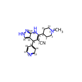 CN1CCC(C2=C(C#N)C(c3ccncc3)c3c[nH]nc3N2)CC1